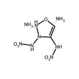 N.N.O=[N+]([O-])NC1=CONN1N[N+](=O)[O-]